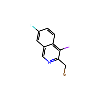 Fc1ccc2c(I)c(CBr)ncc2c1